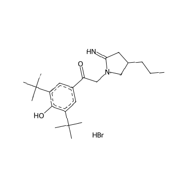 Br.CCCC1CC(=N)N(CC(=O)c2cc(C(C)(C)C)c(O)c(C(C)(C)C)c2)C1